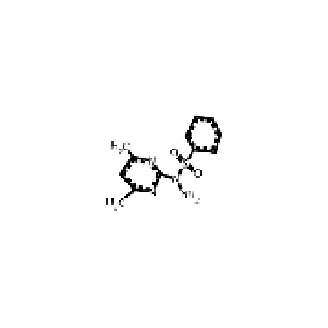 Cc1cc(C)nc(N(N)S(=O)(=O)c2ccccc2)n1